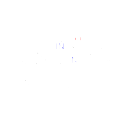 O=c1[nH]c(C2C3CC4CC(C3)CC2C4)c(C2CC2)n1CC1CC1